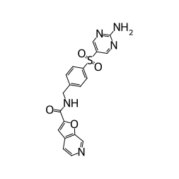 Nc1ncc(S(=O)(=O)c2ccc(CNC(=O)c3cc4ccncc4o3)cc2)cn1